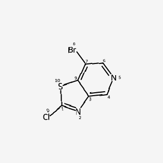 Clc1nc2cncc(Br)c2s1